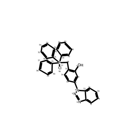 Oc1cc(-n2nnc3ccccc32)ccc1CP(Cl)(c1ccccc1)(c1ccccc1)c1ccccc1